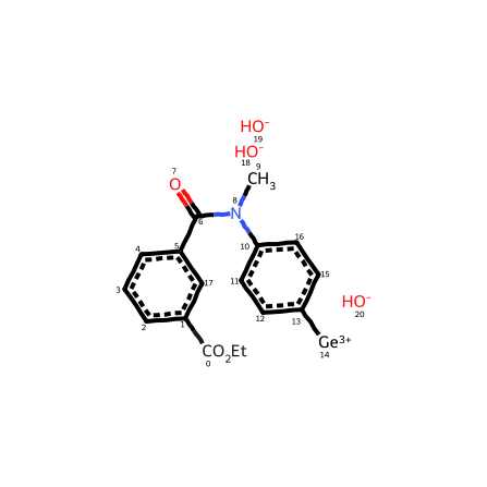 CCOC(=O)c1cccc(C(=O)N(C)c2cc[c]([Ge+3])cc2)c1.[OH-].[OH-].[OH-]